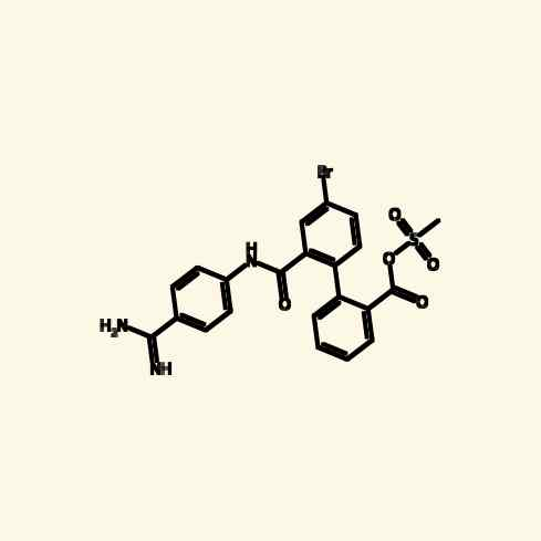 CS(=O)(=O)OC(=O)c1ccccc1-c1ccc(Br)cc1C(=O)Nc1ccc(C(=N)N)cc1